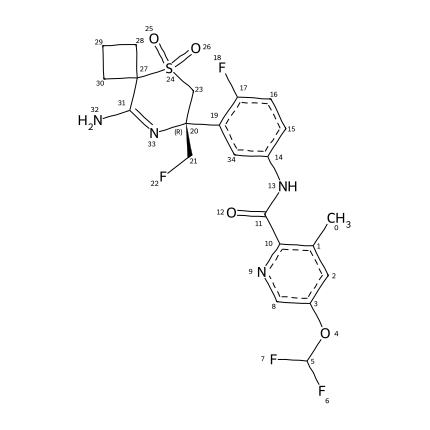 Cc1cc(OC(F)F)cnc1C(=O)Nc1ccc(F)c([C@@]2(CF)CS(=O)(=O)C3(CCC3)C(N)=N2)c1